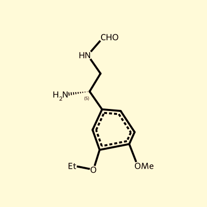 CCOc1cc([C@H](N)CNC=O)ccc1OC